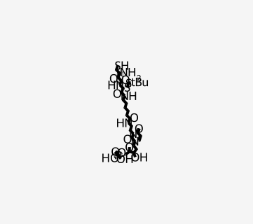 CC(C)(C)SSC(NC(=O)C(=O)[C@@H](N)CS)C(=O)NCCCCCC(=O)NCCn1c(=O)ccn(C2CC(O)C(COP(=O)(O)O)O2)c1=O